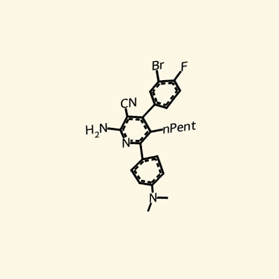 CCCCCc1c(-c2ccc(N(C)C)cc2)nc(N)c(C#N)c1-c1ccc(F)c(Br)c1